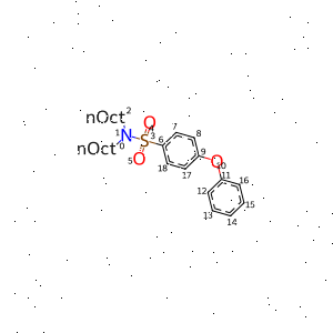 CCCCCCCCN(CCCCCCCC)S(=O)(=O)c1ccc(Oc2ccccc2)cc1